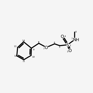 CNS(=O)(=O)CCOCc1ccccc1